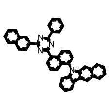 c1ccc(-c2nc(-c3ccc4ccccc4c3)nc(-c3cccc4c(-n5c6ccccc6c6cc7ccccc7cc65)cccc34)n2)cc1